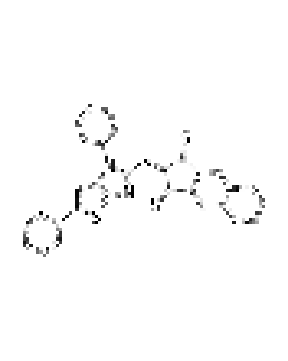 S=C1C(=Cc2nc3sc(-c4ccccc4)cc3n2-c2ccccc2)C(=S)c2cc3ccccc3cc21